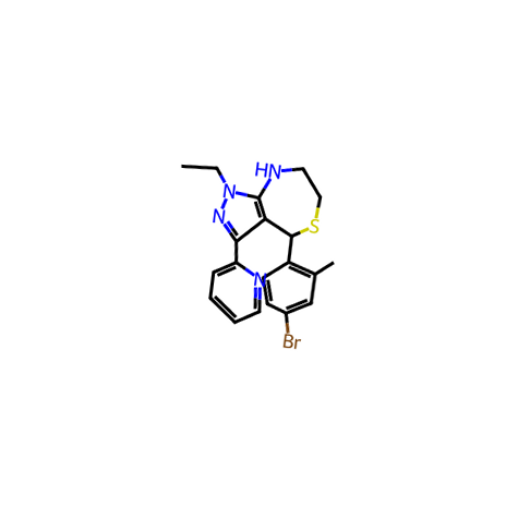 CCn1nc(-c2ccccn2)c2c1NCCSC2c1ccc(Br)cc1C